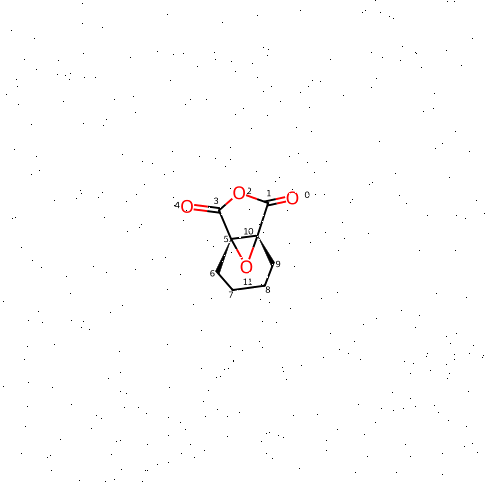 O=C1OC(=O)[C@]23CCCC[C@]12O3